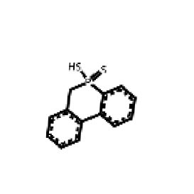 S=P1(S)Cc2ccccc2-c2ccccc21